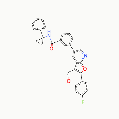 O=Cc1c(-c2ccc(F)cc2)oc2ncc(-c3cccc(C(=O)NC4(c5ccccc5)CC4)c3)cc12